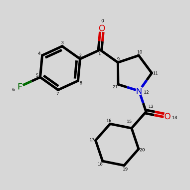 O=C(c1ccc(F)cc1)C1CCN(C(=O)C2CCCCC2)C1